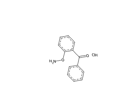 Cl.NOc1ccccc1C(=O)c1ccccc1